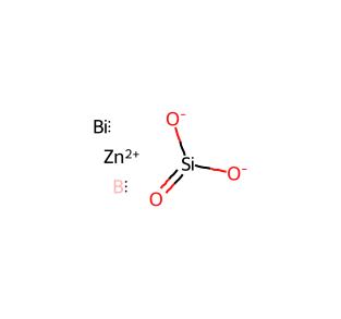 O=[Si]([O-])[O-].[B].[Bi].[Zn+2]